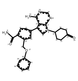 NC(=O)c1ccc(-c2cn(C3CCC(=O)CC3)c3ncnc(N)c23)cc1COc1ccccc1